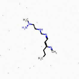 C=N/C(=C\C=N/CNCCN(C)N)CCC